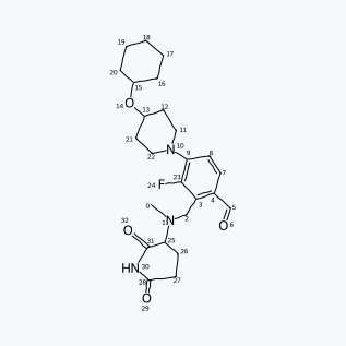 CN(Cc1c(C=O)ccc(N2CCC(OC3CCCCC3)CC2)c1F)C1CCC(=O)NC1=O